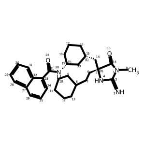 CN1C(=N)N[C@](CCC2CCCCC2)(C[C@H]2CCC[C@@H](NC(=O)c3cccc4ccccc34)C2)C1=O